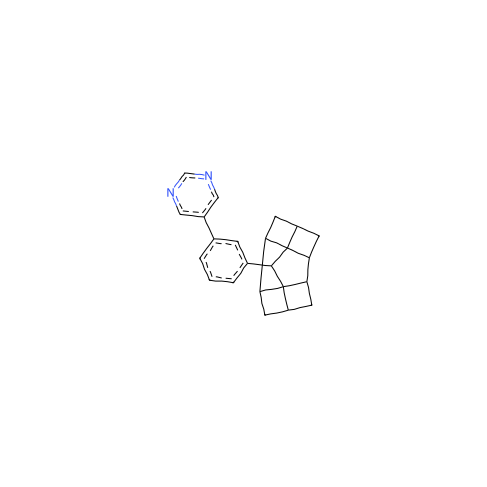 c1cc(-c2cncnc2)cc(C2C34C5CC3C3CC6CC(C4C5)C632)c1